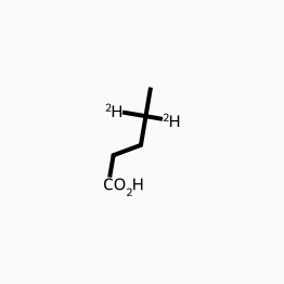 [2H]C([2H])(C)CCC(=O)O